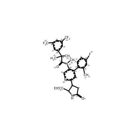 CCOC(=O)C1NC(=O)CC1c1cc(-c2ccc(F)cc2C)c(N(C)C(=O)C(C)(C)c2cc(C(F)(F)F)cc(C(F)(F)F)c2)cn1